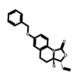 C=C[C@H]1OC(=O)N2c3ccc(OCc4ccccc4)cc3CC[C@@H]12